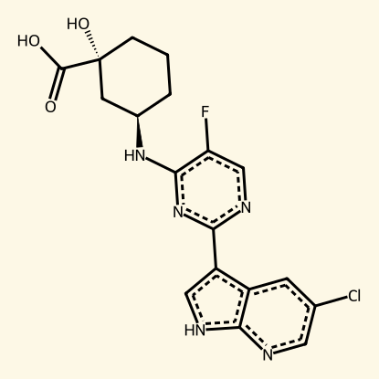 O=C(O)[C@@]1(O)CCC[C@@H](Nc2nc(-c3c[nH]c4ncc(Cl)cc34)ncc2F)C1